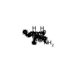 CS(=O)(=O)NCCCC[C@@H](NC1CCC2(CC1)CCN(Cc1ccccc1)C2)C(=O)N1CCN(C(=O)Oc2cccc(CN)c2Cl)C[C@H]1C(=O)NCc1cccs1